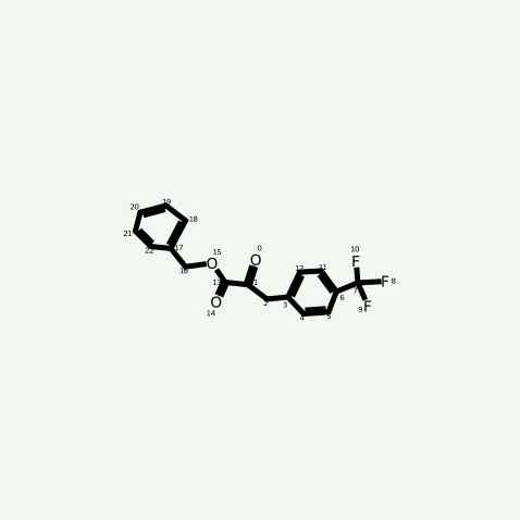 O=C(Cc1ccc(C(F)(F)F)cc1)C(=O)OCc1ccccc1